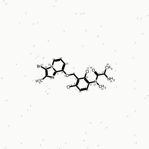 Cc1nc2c(OCc3c(Cl)ccc(N(C)C(=O)C(C)N)c3Cl)cccn2c1Br